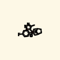 Cc1nnsc1C(=O)N1C2CCC1CC(c1ccc(F)cc1)C2